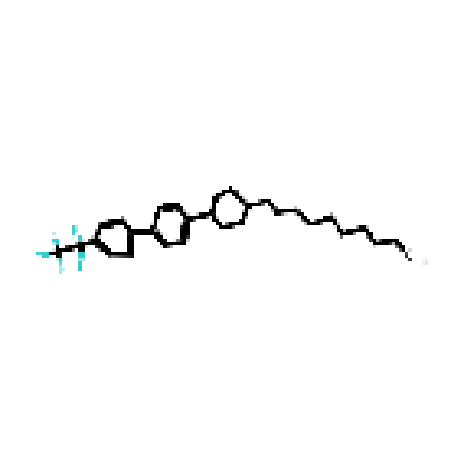 CCCCCCCCCCC1CCC(c2ccc(-c3ccc(C(F)(F)C(F)(F)F)cc3)cc2)CC1